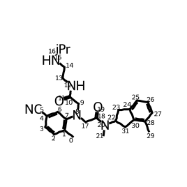 Cc1ccc(C#N)cc1N(CC(=O)NCCNC(C)C)CC(=O)N(C)C1Cc2cccc(C)c2C1